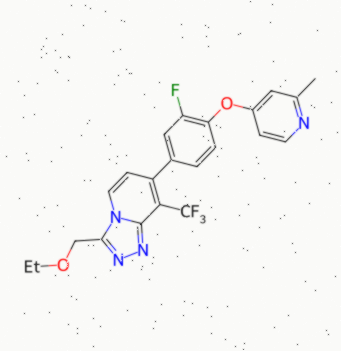 CCOCc1nnc2c(C(F)(F)F)c(-c3ccc(Oc4ccnc(C)c4)c(F)c3)ccn12